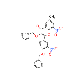 Cc1cc([N+](=O)[O-])c2oc(-c3ccc(OCc4ccccc4)c([N+](=O)[O-])c3)c(OCc3ccccc3)c(=O)c2c1